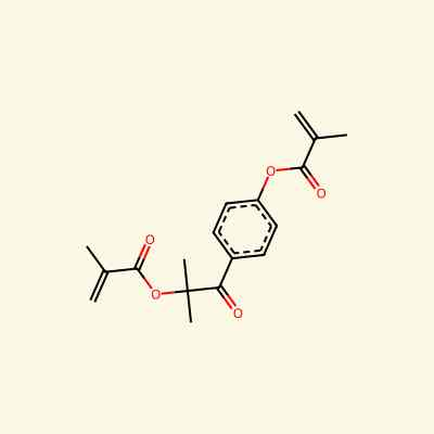 C=C(C)C(=O)Oc1ccc(C(=O)C(C)(C)OC(=O)C(=C)C)cc1